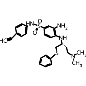 C#Cc1ccc(NS(=O)(=O)c2ccc(N[C@H](CCN(C)C)CSc3ccccc3)c(N)c2)cc1